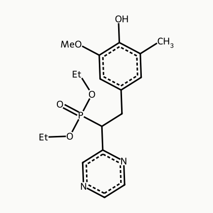 CCOP(=O)(OCC)C(Cc1cc(C)c(O)c(OC)c1)c1cnccn1